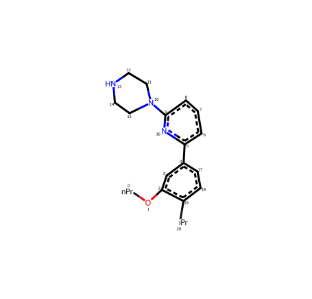 CCCOc1cc(-c2cccc(N3CCNCC3)n2)ccc1C(C)C